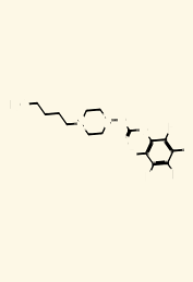 CCCCCN1CCN(OC(=O)Oc2c(F)c(F)c(F)c(F)c2F)CC1